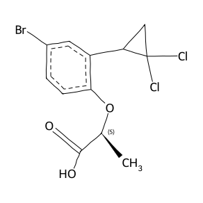 C[C@H](Oc1ccc(Br)cc1C1CC1(Cl)Cl)C(=O)O